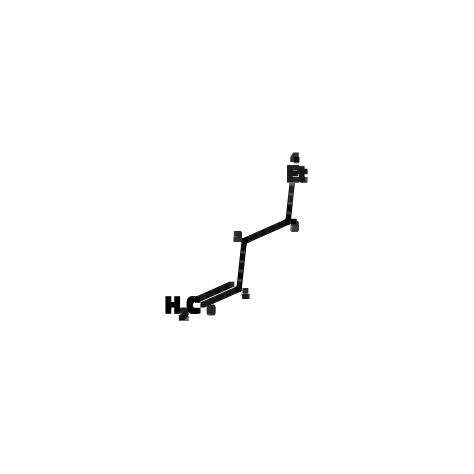 C=CC[CH]CC